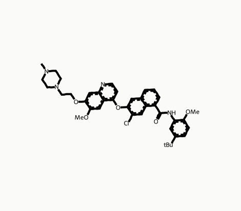 COc1ccc(C(C)(C)C)cc1NC(=O)c1cccc2cc(Oc3ccnc4cc(OCCN5CCN(C)CC5)c(OC)cc34)c(Cl)cc12